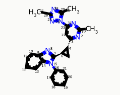 Cc1nc([C@@H]2C[C@H]2c2nc3ccccc3n2-c2ccccc2)cc(-n2nc(C)nc2C)n1